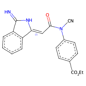 CCOC(=O)c1ccc(N(C#N)C(=O)/C=C2\NC(=N)c3ccccc32)cc1